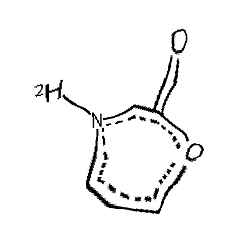 [2H]n1ccoc1=O